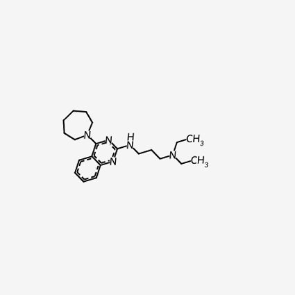 CCN(CC)CCCNc1nc(N2CCCCCC2)c2ccccc2n1